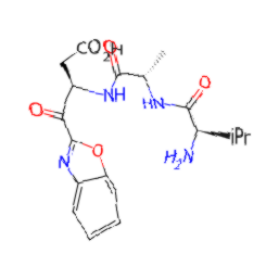 CC(C)[C@@H](N)C(=O)N[C@@H](C)C(=O)N[C@H](CC(=O)O)C(=O)c1nc2ccccc2o1